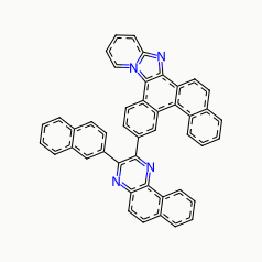 c1ccc2cc(-c3nc4ccc5ccccc5c4nc3-c3ccc4c(c3)c3c5ccccc5ccc3c3nc5ccccn5c43)ccc2c1